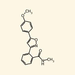 CNC(=O)c1ccccc1-c1cc(-c2ccc(OC)cc2)on1